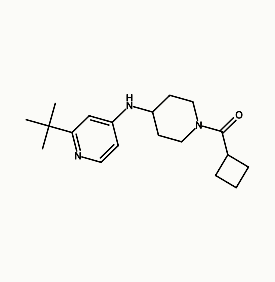 CC(C)(C)c1cc(NC2CCN(C(=O)C3CCC3)CC2)ccn1